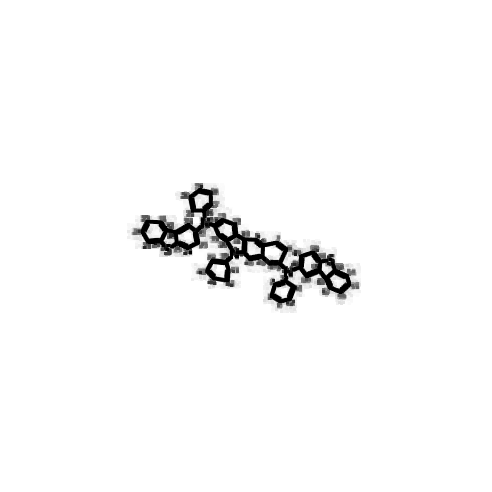 c1ccc(N(c2ccc3cc4c5ccc(N(c6ccccc6)c6ccc7sc8ccccc8c7c6)cc5n(-c5ccccc5)c4cc3c2)c2ccc3sc4ccccc4c3c2)cc1